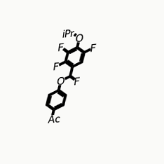 CC(=O)c1ccc(OC(F)c2cc(F)c(OC(C)C)c(F)c2F)cc1